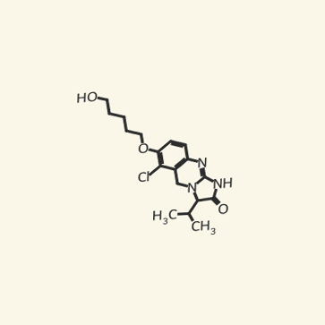 CC(C)C1C(=O)NC2=Nc3ccc(OCCCCCO)c(Cl)c3CN21